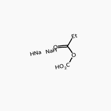 CCC(=O)OC(=O)O.[NaH].[NaH]